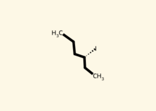 CCC[C@H](I)CC